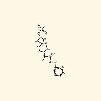 CN(C(=O)OCc1ccccc1)C1CCC2(CC1)CC(OS(C)(=O)=O)C2